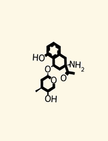 CC(=O)[C@]1(N)Cc2cccc(O)c2[C@@H](O[C@H]2C[C@H](C)[C@H](O)CO2)C1